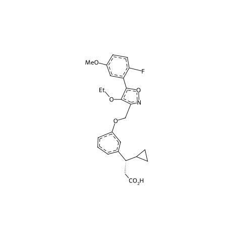 CCOc1c(COc2cccc([C@@H](CC(=O)O)C3CC3)c2)noc1-c1cc(OC)ccc1F